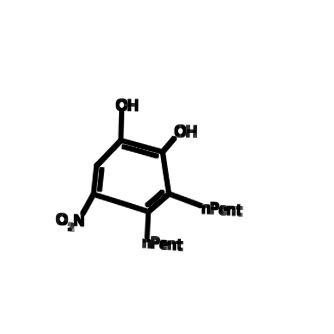 CCCCCc1c([N+](=O)[O-])cc(O)c(O)c1CCCCC